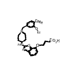 CCOc1cc(CN2CCC(Nc3nc4cccc(OCCCC(=O)O)c4o3)CC2)ccc1OC